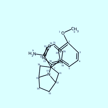 COc1cccc(C2(C(N)=O)CC3CCC(C2)N3c2ncccn2)c1